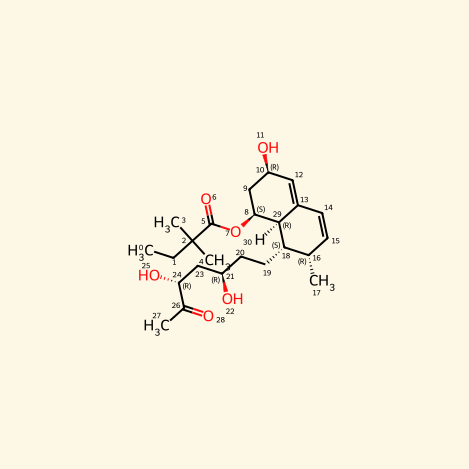 CCC(C)(C)C(=O)O[C@H]1C[C@@H](O)C=C2C=C[C@H](C)[C@H](CC[C@@H](O)C[C@@H](O)C(C)=O)[C@H]21